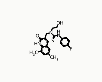 Cc1cc(C)c2[nH]c(=O)c(CN(CCO)C(=S)Nc3ccc(F)cc3)cc2c1